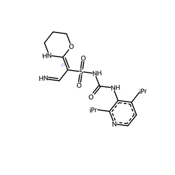 CC(C)c1ccnc(C(C)C)c1NC(=O)NS(=O)(=O)/C(C=N)=C1/NCCCO1